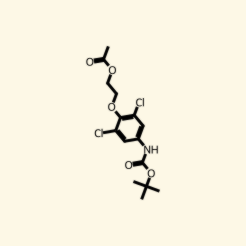 CC(=O)OCCOc1c(Cl)cc(NC(=O)OC(C)(C)C)cc1Cl